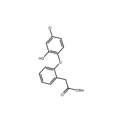 COC(=O)Cc1ccccc1Oc1ccc(Cl)cc1O